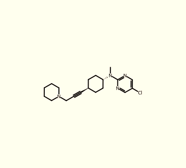 CN(c1ncc(Cl)cn1)[C@H]1CC[C@H](C#CCN2CCCCC2)CC1